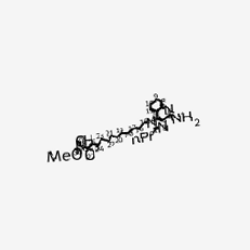 CCCc1nc2c(N)nc3ccccc3c2n1CCCCCCCCCCCC(=O)N(C)OC